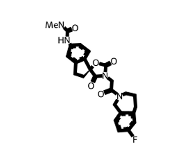 CNC(=O)Nc1ccc2c(c1)CC[C@]21OC(=O)N(CC(=O)N2CCCc3cc(F)ccc3C2)C1=O